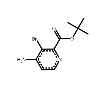 CC(C)(C)OC(=O)c1nccc(N)c1Br